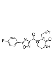 CC(C)C[C@H]1C(=O)NCCN1C(=O)c1noc(-c2ccc(F)cc2)n1